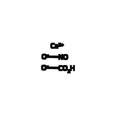 O=C([O-])O.O=N[O-].[Ca+2]